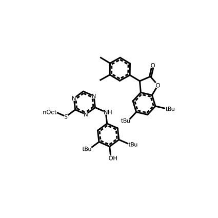 CCCCCCCCSc1ncnc(Nc2cc(C(C)(C)C)c(O)c(C(C)(C)C)c2)n1.Cc1ccc(C2C(=O)Oc3c2cc(C(C)(C)C)cc3C(C)(C)C)cc1C